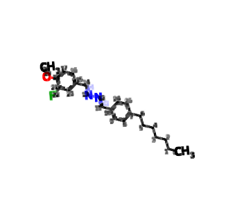 CCCCCCCc1ccc(/C=N/N=C/c2ccc(OC)c(F)c2)cc1